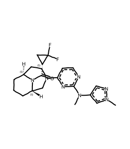 CN(c1cnn(C)c1)c1nccc(N2CC[C@@H]3CCC[C@@H](C2)N3C(=O)[C@@H]2CC2(F)F)n1